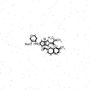 CO[C@@H]1COCC[C@@H]1N[C@@H]1C[C@H]2CN(C(=O)N(C)C)C[C@@]2(C(=O)N2CCc3ncc(C(F)(F)F)cc3C2)C1